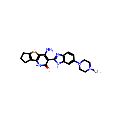 CN1CCN(c2ccc3nc(-c4c(N)c5sc6c(c5[nH]c4=O)CCC6)[nH]c3c2)CC1